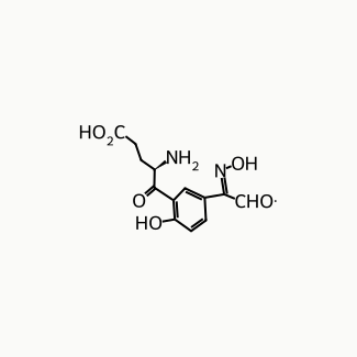 N[C@H](CCC(=O)O)C(=O)c1cc(/C([C]=O)=N/O)ccc1O